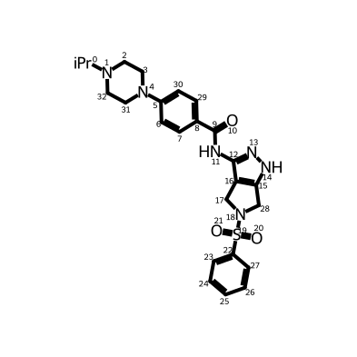 CC(C)N1CCN(c2ccc(C(=O)Nc3n[nH]c4c3CN(S(=O)(=O)c3ccccc3)C4)cc2)CC1